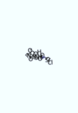 COC(=O)C1CCCN1C(=O)CN1CCC[C@H](NS(=O)(=O)/C=C/c2ccc(Cl)s2)C1=O